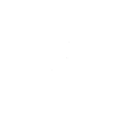 C=C1C2=CC(=O)OC(c3ccoc3)C2(C)CCC1C1(C)C=CC(=O)C(C)(C)C1CC(=O)OC